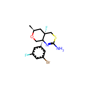 C[C@H]1C[C@@]2(F)CSC(N)=N[C@@]2(c2cc(F)cc(Br)c2)CO1